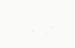 O=C(O)c1ccc2c(Cl)n(-c3ccccc3)nc2n1